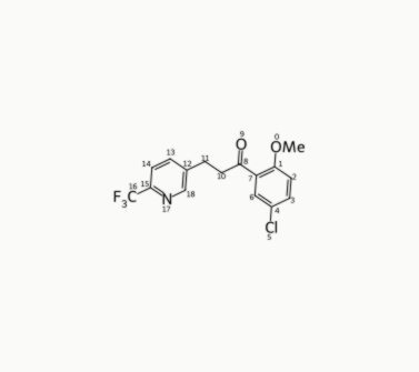 COc1ccc(Cl)cc1C(=O)CCc1ccc(C(F)(F)F)nc1